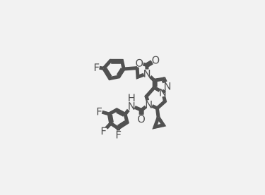 O=C1OC(c2ccc(F)cc2)CN1c1cnn2c1CN(C(=O)Nc1cc(F)c(F)c(F)c1)C(C1CC1)C2